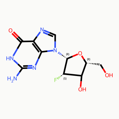 Nc1nc2c(ncn2[C@@H]2O[C@H](CO)C(O)[C@@H]2F)c(=O)[nH]1